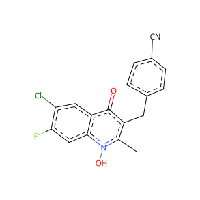 Cc1c(Cc2ccc(C#N)cc2)c(=O)c2cc(Cl)c(F)cc2n1O